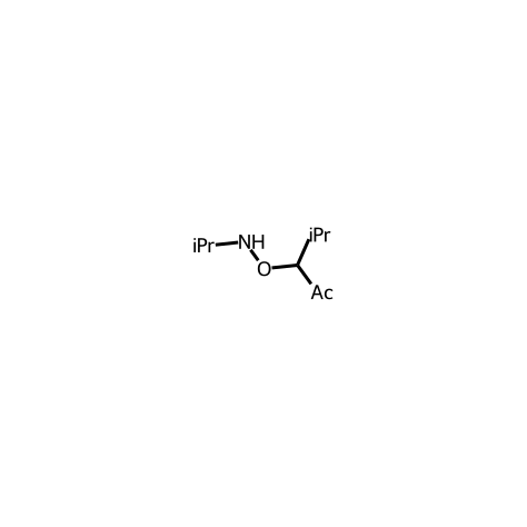 CC(=O)C(ONC(C)C)C(C)C